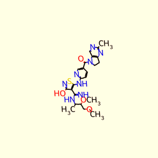 COCC(OC)C(C)NC(=N)c1c(O)nsc1Nc1ccc(C(=O)N2CCc3nc(C)ncc32)cn1